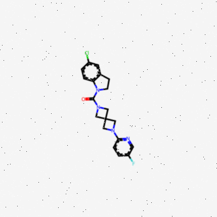 O=C(N1CC2(C1)CN(c1ccc(F)cn1)C2)N1CCc2cc(Cl)ccc21